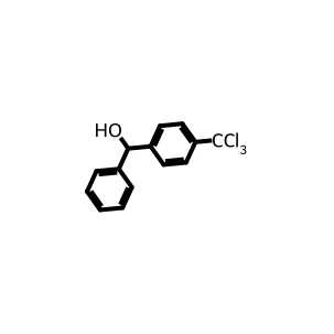 OC(c1ccccc1)c1ccc(C(Cl)(Cl)Cl)cc1